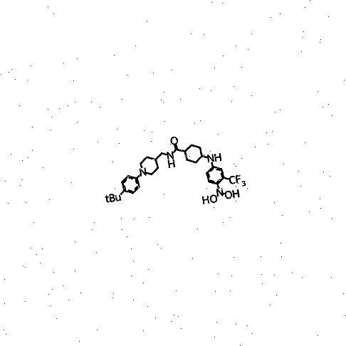 CC(C)(C)c1ccc(N2CCC(CNC(=O)C3CCC(Nc4ccc(N(O)O)c(C(F)(F)F)c4)CC3)CC2)cc1